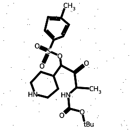 Cc1ccc(S(=O)(=O)OC(C(=O)C(C)NC(=O)OC(C)(C)C)C2CCNCC2)cc1